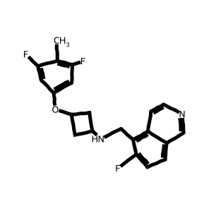 Cc1c(F)cc(OC2CC(NCc3c(F)ccc4cnccc34)C2)cc1F